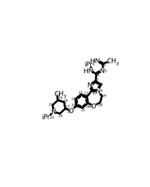 CC(=N)/N=C(\NC(C)C)c1cn2c(n1)-c1ccc(OC3CC(C)CN(C(C)C)C3)cc1OCC2